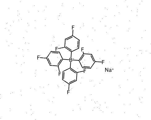 Fc1ccc([B-](c2ccc(F)cc2F)(c2ccc(F)cc2F)c2ccc(F)cc2F)c(F)c1.[Na+]